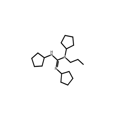 CCCN(C(=NC1CCCC1)NC1CCCC1)C1CCCC1